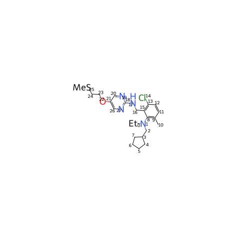 CCN(CC1CCCC1)c1c(C)ccc(Cl)c1CNc1ncc(OCCSC)cn1